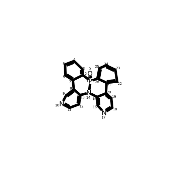 O=P12c3ccccc3-c3cnccc3N1c1cnccc1-c1ccccc12